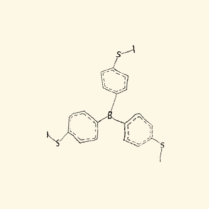 ISc1ccc(B(c2ccc(SI)cc2)c2ccc(SI)cc2)cc1